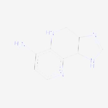 Nc1ccnc2c1NCC1N=CNC21